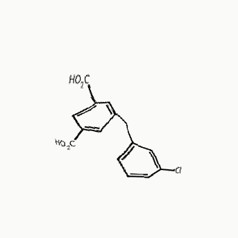 O=C(O)c1cc(Cc2cccc(Cl)c2)cc(C(=O)O)c1